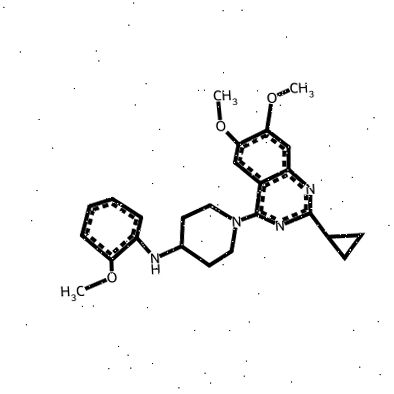 COc1ccccc1NC1CCN(c2nc(C3CC3)nc3cc(OC)c(OC)cc23)CC1